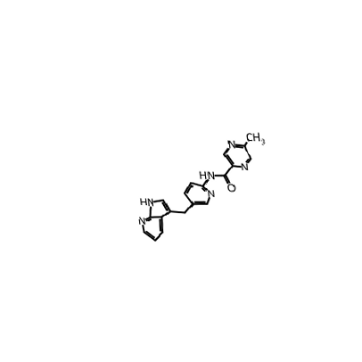 Cc1cnc(C(=O)Nc2ccc(Cc3c[nH]c4ncccc34)cn2)cn1